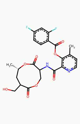 Cc1ccnc(C(=O)NC2COC(=O)C(CO)C[C@H](C)OC2=O)c1OC(=O)c1ccc(F)cc1F